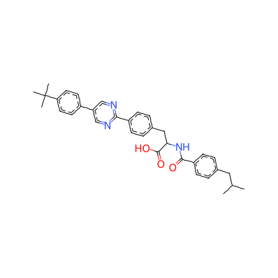 CC(C)Cc1ccc(C(=O)NC(Cc2ccc(-c3ncc(-c4ccc(C(C)(C)C)cc4)cn3)cc2)C(=O)O)cc1